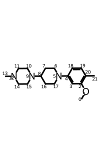 COc1cc(N2CCC(N3CCN(C)CC3)CC2)ccc1C